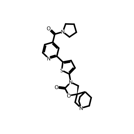 O=C(c1ccnc(-c2ccc(N3C[C@@]4(CN5CCC4CC5)OC3=O)s2)c1)N1CCCC1